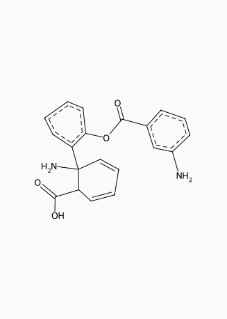 Nc1cccc(C(=O)Oc2ccccc2C2(N)C=CC=CC2C(=O)O)c1